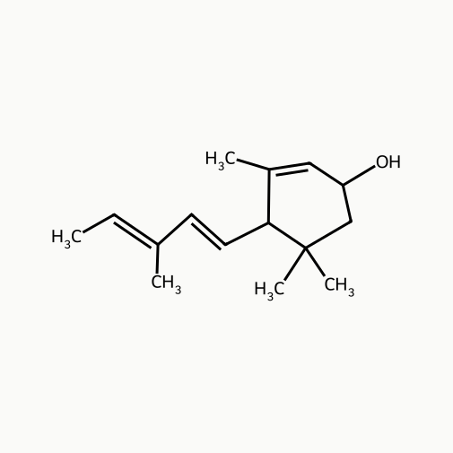 C/C=C(C)/C=C/C1C(C)=CC(O)CC1(C)C